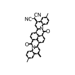 C=c1cc2c3ccc4c(=O)n5c6ccc(C)cc6c(=C(C#N)C#N)cc5c5ccc(c(=O)n2c2ccc(C)cc12)c3c45